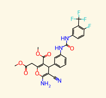 COC(=O)CC1=C(C(=O)OC)C(c2cccc(NC(=O)Nc3ccc(F)c(C(F)(F)F)c3)c2)C(C#N)=C(N)O1